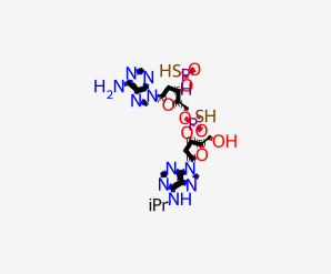 CC(C)Nc1ncnc2c1ncn2[C@H]1C[C@H](OP(=O)(S)OC[C@H]2O[C@@H](n3cnc4c(N)ncnc43)C[C@@H]2O[PH](=O)S)[C@@H](CO)O1